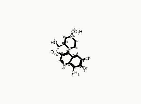 Cc1c(Br)c(Cl)cc2c(N3CCN(C(=O)O)C[C@@H]3CO)c([N+](=O)[O-])cnc12